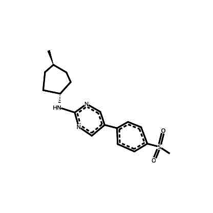 CS(=O)(=O)c1ccc(-c2cnc(N[C@H]3CC[C@H](C)CC3)nc2)cc1